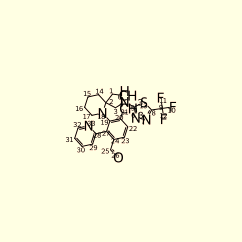 CCC1(CNc2nnc(C(F)(F)F)s2)CCCCN1c1c(C)ccc(C=O)c1-c1ccccn1